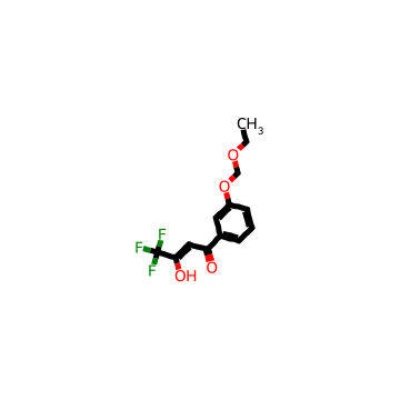 CCOCOc1cccc(C(=O)/C=C(\O)C(F)(F)F)c1